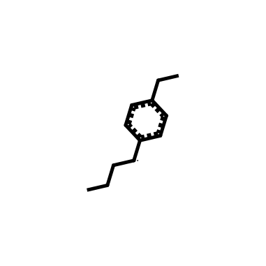 CCC[CH]c1ccc(CC)cc1